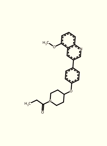 CCC(=O)N1CCC(Oc2ccc(-c3cnc4cccc(OC)c4c3)cc2)CC1